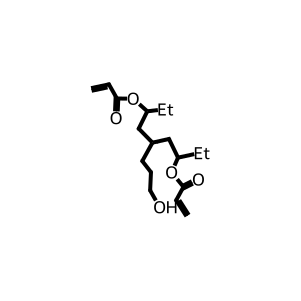 C=CC(=O)OC(CC)C[C](CCCO)CC(CC)OC(=O)C=C